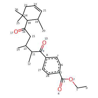 CCOC(=O)c1ccc(C(=O)C(C)C(C)CC(=O)C2C(C)C=CCC2(C)C)cc1